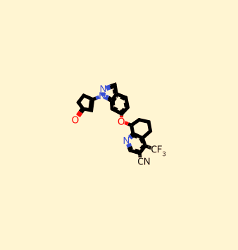 N#Cc1cnc2c(c1C(F)(F)F)CCCC2Oc1ccc2cnn(C3=CC(=O)CC3)c2c1